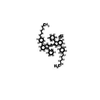 CCCCCCc1ccc(-c2cccc3c2C=[C]([Zr+2][C]2=Cc4c(-c5ccc(CCCCCC)cc5)cccc4C2c2ccccn2)C3c2ccccn2)cc1.[Cl-].[Cl-]